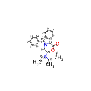 CCOC(=O)c1c2ccccc2c(-c2ccccc2)n1CCN(CC)CC